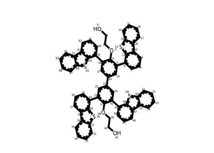 OCCOc1c(-c2cccc3c2sc2ccccc23)cc(-c2cc(-c3cccc4c3sc3ccccc34)c(OCCO)c(-c3cccc4c3sc3ccccc34)c2)cc1-c1cccc2c1sc1ccccc12